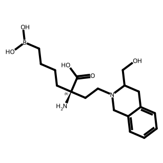 N[C@](CCCCB(O)O)(CCN1Cc2ccccc2CC1CO)C(=O)O